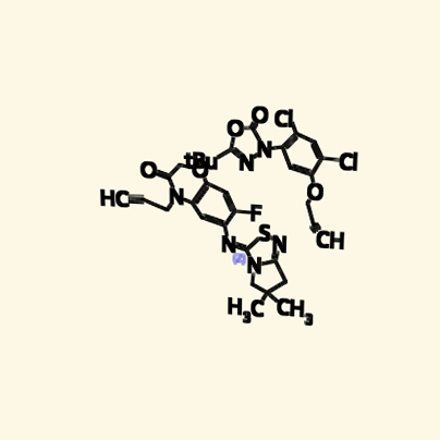 C#CCN1C(=O)COc2cc(F)c(/N=c3\snc4n3CC(C)(C)C4)cc21.C#CCOc1cc(-n2nc(C(C)(C)C)oc2=O)c(Cl)cc1Cl